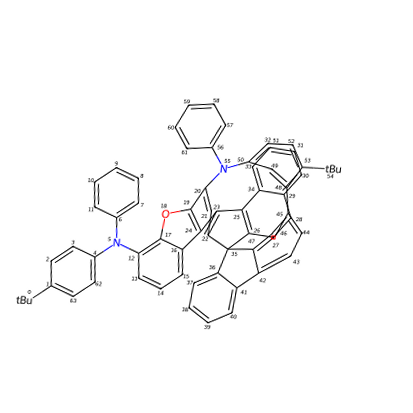 CC(C)(C)c1ccc(N(c2ccccc2)c2cccc3c2oc2c4cc5c(c23)-c2c(ccc3ccccc23)C52c3ccccc3-c3ccc(cc32)-c2cc(ccc2C(C)(C)C)N4c2ccccc2)cc1